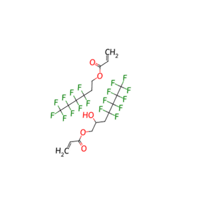 C=CC(=O)OCC(O)CC(F)(F)C(F)(F)C(F)(F)C(F)(F)F.C=CC(=O)OCCC(F)(F)C(F)(F)C(F)(F)C(F)(F)F